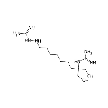 N=C(N)NNCCCCCCCC(CO)(CO)NC(=N)N